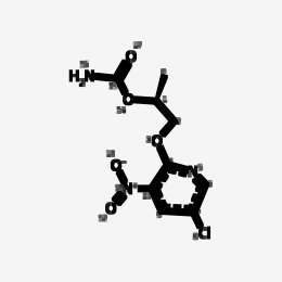 C[C@@H](COc1ncc(Cl)cc1[N+](=O)[O-])OC(N)=O